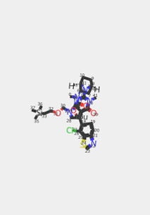 CN(C(=O)OC(C)(C)C)[C@@H]1C[C@@H]2CC[C@H]1N2c1nc2c(c(-c3ccc4ncsc4c3Cl)cn2COCC[Si](C)(C)C)c(=O)n1C